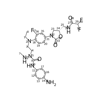 CCN(CCN(NC)C(=O)Nc1ccc(N)cc1)c1ccc(N2C[C@H](CNC(=O)C(F)F)OC2=O)cc1F